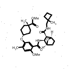 COc1cc(C)c(O[C@H]2CC[C@@](C)(C(=O)OC)CC2)cc1C(=O)N[C@H]1[C@@H](C(=O)NCC2(C)CCC2)[C@H]2CC[C@@H]1O2